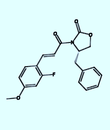 COc1ccc(C=CC(=O)N2C(=O)OC[C@@H]2Cc2ccccc2)c(F)c1